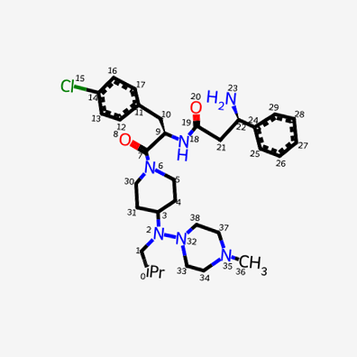 CC(C)CN(C1CCN(C(=O)[C@@H](Cc2ccc(Cl)cc2)NC(=O)C[C@@H](N)c2ccccc2)CC1)N1CCN(C)CC1